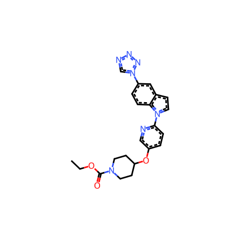 CCOC(=O)N1CCC(Oc2ccc(-n3ccc4cc(-n5cnnn5)ccc43)nc2)CC1